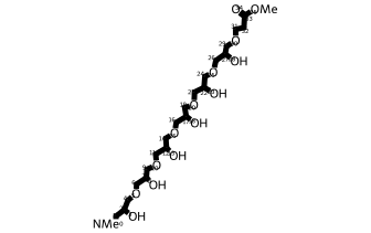 CNCC(O)COCC(O)COCC(O)COCC(O)COCC(O)COCC(O)COCCC(=O)OC